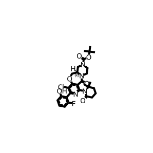 CC(C)(C)OC(=O)N1CCN2C(=O)c3c(N4C(=O)CCCC4(C)C)nc(-c4c(O)cccc4F)c(Cl)c3OC[C@H]2C1